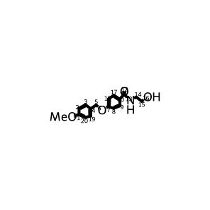 COc1ccc(COc2ccc(C(=O)NCCO)cc2)cc1